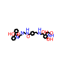 CN(CCNC(=O)c1ccc(CCNC[C@H](O)c2ccc(O)c3[nH]c(=O)ccc23)cc1)Cc1cnc(C(O)(c2ccccc2)c2ccccc2)o1